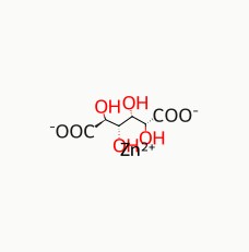 O=C([O-])[C@@H](O)[C@@H](O)[C@H](O)[C@@H](O)C(=O)[O-].[Zn+2]